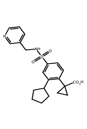 O=C(O)C1(c2ccc(S(=O)(=O)NCc3cccnc3)cc2C2CCCC2)CC1